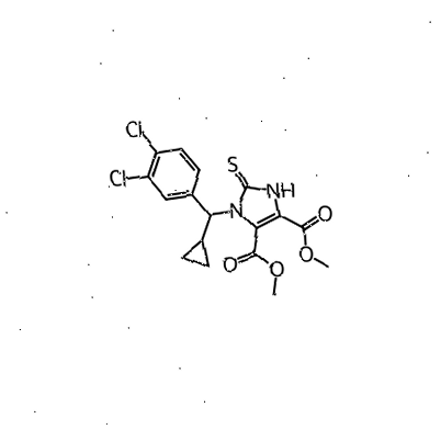 COC(=O)c1[nH]c(=S)n(C(c2ccc(Cl)c(Cl)c2)C2CC2)c1C(=O)OC